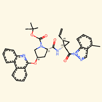 C=C[C@H]1C[C@@]1(NC(=O)[C@@H]1C[C@@H](Oc2nc3ccccc3c3ccccc23)CN1C(=O)OC(C)(C)C)C(=O)n1ncc2c(C)cccc21